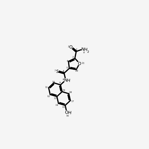 NC(=O)c1cc(C(=S)Nc2cccc3cc(O)ccc23)co1